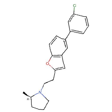 C[C@@H]1CCCN1CCc1cc2cc(-c3cccc(Cl)c3)ccc2o1